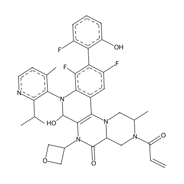 C=CC(=O)N1CC2C(=O)N(C3COC3)C3=C(c4cc(F)c(-c5c(O)cccc5F)c(F)c4N(c4c(C)ccnc4C(C)C)C3O)N2CC1C